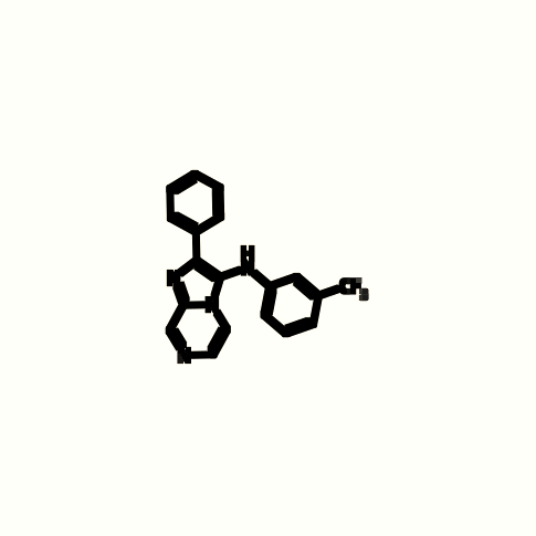 FC(F)(F)c1cccc(Nc2c(-c3ccccc3)nc3cnccn23)c1